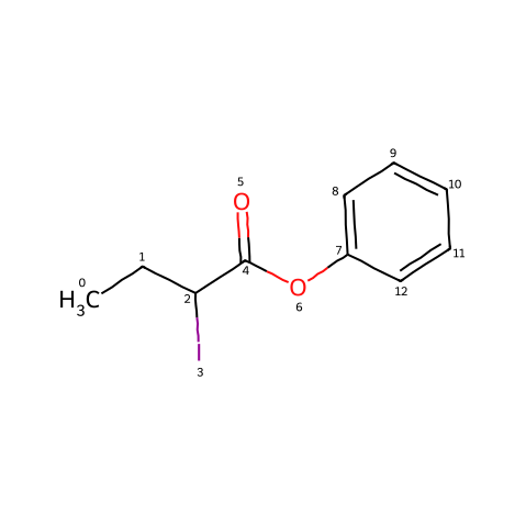 CCC(I)C(=O)Oc1ccccc1